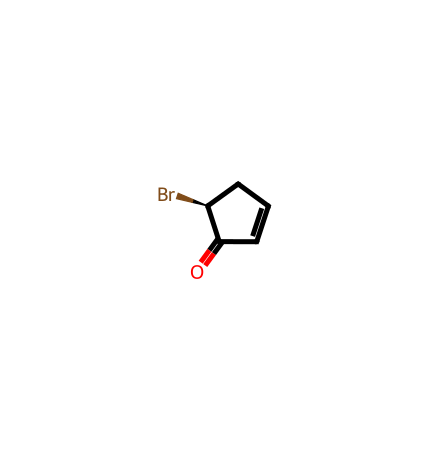 O=C1C=CC[C@@H]1Br